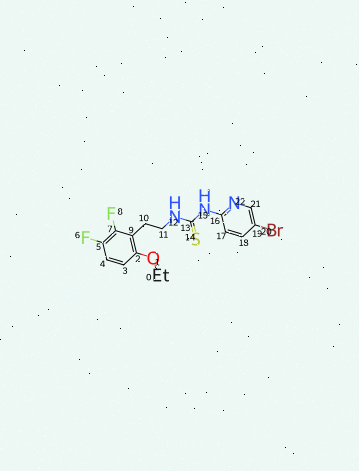 CCOc1ccc(F)c(F)c1CCNC(=S)Nc1ccc(Br)cn1